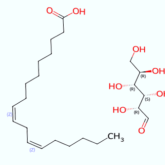 CCCCC/C=C\C/C=C\CCCCCCCC(=O)O.O=C[C@H](O)[C@@H](O)[C@H](O)[C@H](O)CO